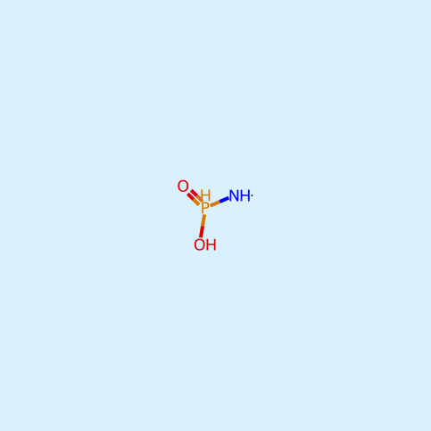 [NH][PH](=O)O